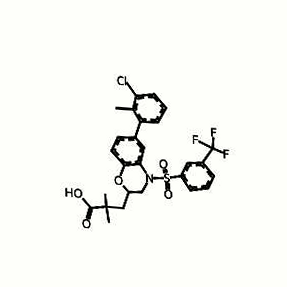 Cc1c(Cl)cccc1-c1ccc2c(c1)N(S(=O)(=O)c1cccc(C(F)(F)F)c1)CC(CC(C)(C)C(=O)O)O2